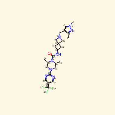 Cc1nn(C)cc1CN1CC2(CC(NC(=O)N3[C@H](C)CN(c4ncc(C(F)(F)F)cn4)C[C@@H]3C)C2)C1